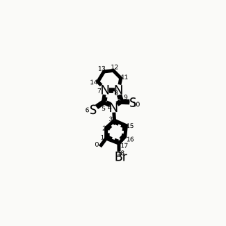 Cc1cc(-n2c(=S)n3n(c2=S)CCCC3)ccc1Br